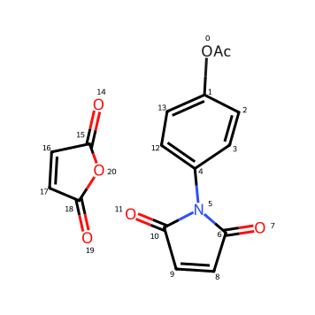 CC(=O)Oc1ccc(N2C(=O)C=CC2=O)cc1.O=C1C=CC(=O)O1